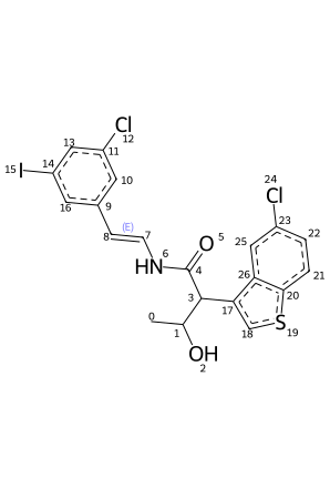 CC(O)C(C(=O)N/C=C/c1cc(Cl)cc(I)c1)c1csc2ccc(Cl)cc12